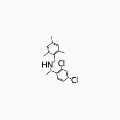 Cc1cc(C)c(CNC(C)c2ccc(Cl)cc2Cl)c(C)c1